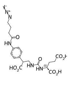 [N-]=[N+]=NCCCC(=O)Nc1ccc(C(CNC(=O)N[C@@H](CCC(=O)O)C(=O)O)C(=O)O)cc1